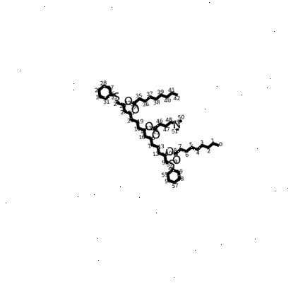 CCCCCCCCC(=O)OC(CCCCCC(CCCCCC(CSC1CCCCC1)OC(=O)CCCCCCCC)OC(=O)CCCN(C)C)CSC1CCCCC1